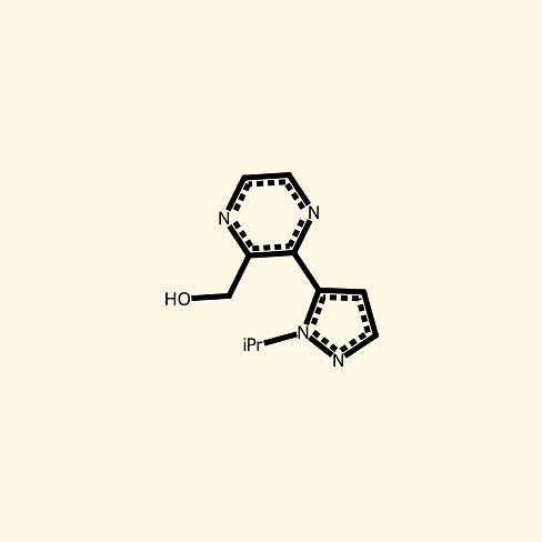 CC(C)n1nccc1-c1nccnc1CO